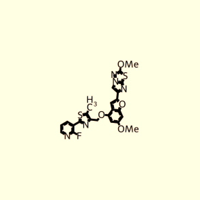 COc1cc(OCc2nc(-c3cccnc3F)sc2C)c2cc(-c3cn4nc(OC)sc4n3)oc2c1